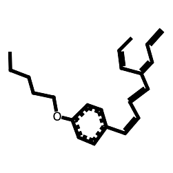 C=C/C=C(\C=C/C)/C=C/C=C\c1ccc(OCCCCC)cc1